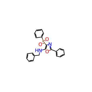 O=S(=O)(c1ccccc1)c1nc(-c2ccccc2)oc1NCc1ccccc1